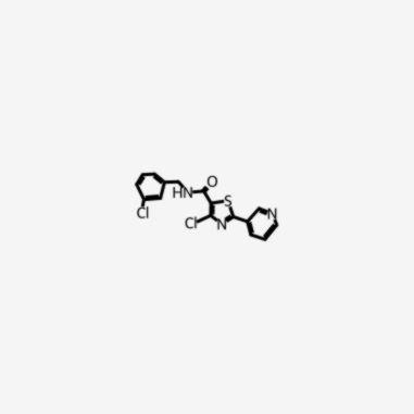 O=C(NCc1cccc(Cl)c1)c1sc(-c2cccnc2)nc1Cl